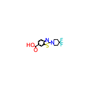 O=C(O)c1ccc2nc(N3CCC(F)(F)CC3)sc2c1